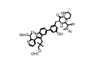 CCn1c(-c2cccnc2[C@H](C)OC)c(CC(C)(C)COC=O)c2cc(-c3cc(O)cc(C[C@H](NC(=O)C(C(C)C)N(C)C(C)=O)C(=O)N4CCC[C@@H](C)N4)c3)ccc21